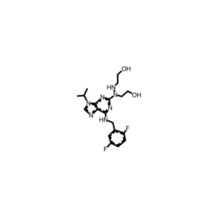 CC(C)n1cnc2c(NCc3cc(F)ccc3F)nc(N(CCO)NCCO)nc21